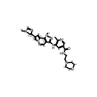 Cc1ncc(C(=O)NCCN2CCOCC2)cc1Nc1nn(C)c2c1cnn1cc(-c3cn(C)cn3)cc21